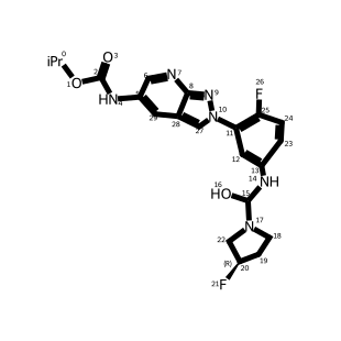 CC(C)OC(=O)Nc1cnc2nn(-c3cc(NC(O)N4CC[C@@H](F)C4)ccc3F)cc2c1